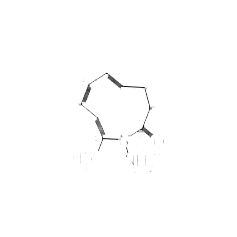 C\C1=C/C=C\C=C\CCC(=O)N1N